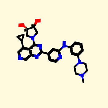 CN1CCN(c2cccc(Nc3cc(-c4nc(N5C[C@H](O)[C@@H](O)C5)c5c(C6CC6)cncc5n4)ccn3)c2)CC1